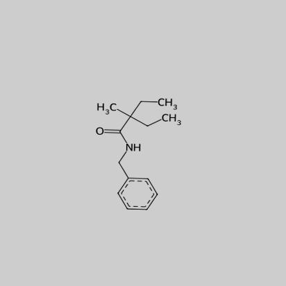 CCC(C)(CC)C(=O)NCc1ccccc1